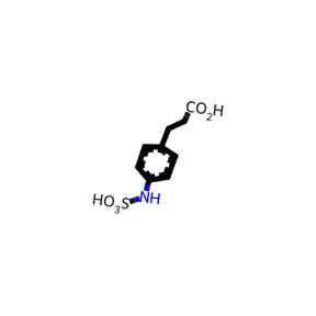 O=C(O)CCc1ccc(NS(=O)(=O)O)cc1